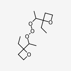 CCC1(C(C)OOOC(C)C2(CC)CCO2)CCO1